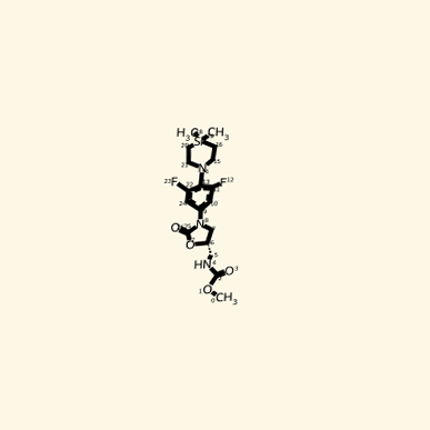 COC(=O)NC[C@H]1CN(c2cc(F)c(N3CC[Si](C)(C)CC3)c(F)c2)C(=O)O1